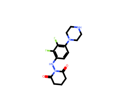 O=C1CCCC(=O)N1Nc1ccc(N2CCNCC2)c(F)c1F